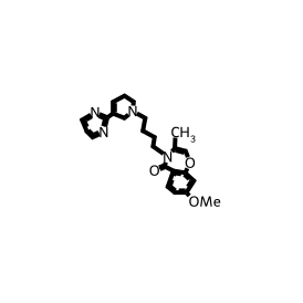 COc1ccc2c(c1)OC=C(C)N(CCCCN1CCC=C(c3ncccn3)C1)C2=O